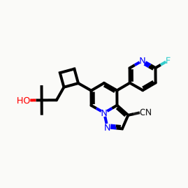 CC(C)(O)CC1CCC1c1cc(-c2ccc(F)nc2)c2c(C#N)cnn2c1